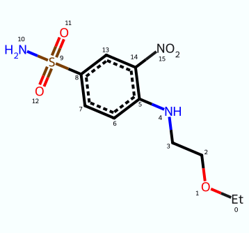 CCOCCNc1ccc(S(N)(=O)=O)cc1[N+](=O)[O-]